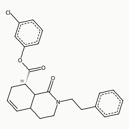 O=C(Oc1cccc(Cl)c1)[C@H]1CC=CC2CCN(CCc3ccccc3)C(=O)C21